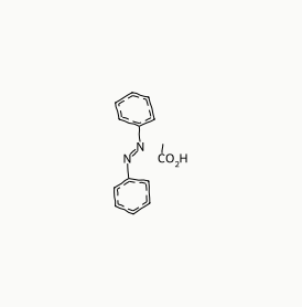 CC(=O)O.c1ccc(N=Nc2ccccc2)cc1